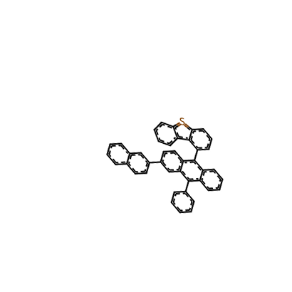 c1ccc(-c2c3ccccc3c(-c3cccc4sc5ccccc5c34)c3ccc(-c4ccc5ccccc5c4)cc23)cc1